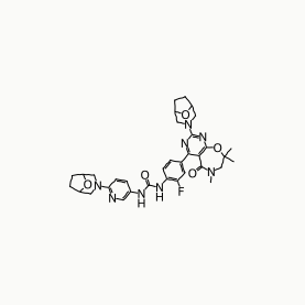 CN1CC(C)(C)Oc2nc(N3CC4CCC(C3)O4)nc(-c3ccc(NC(=O)Nc4ccc(N5CC6CCC(C5)O6)nc4)c(F)c3)c2C1=O